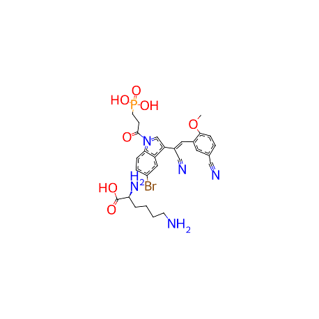 COc1ccc(C#N)cc1/C=C(\C#N)c1cn(C(=O)CCP(=O)(O)O)c2ccc(Br)cc12.NCCCC[C@H](N)C(=O)O